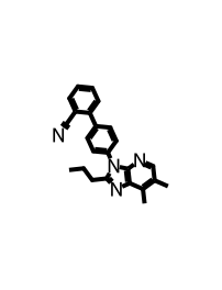 CCCc1nc2c(C)c(C)cnc2n1-c1ccc(-c2ccccc2C#N)cc1